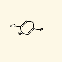 CC(C)C1=CNC(C#N)=CC1